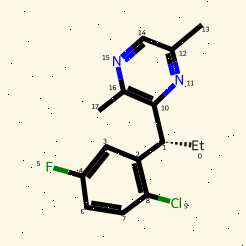 CC[C@H](c1cc(F)ccc1Cl)c1nc(C)cnc1C